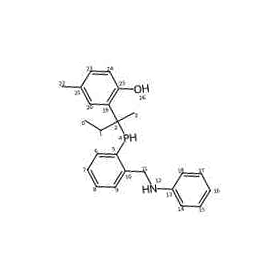 CCC(C)(Pc1ccccc1CNc1ccccc1)c1cc(C)ccc1O